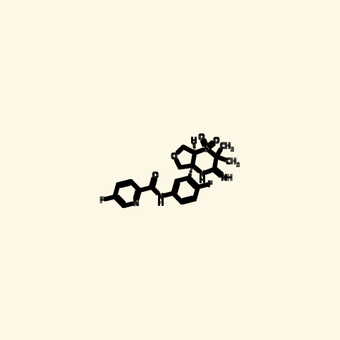 CC1(C)C(=N)N[C@@]2(c3cc(NC(=O)c4ccc(F)cn4)ccc3F)COC[C@H]2S1(=O)=O